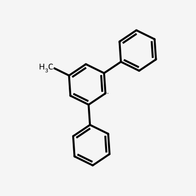 Cc1cc(-c2ccccc2)[c]c(-c2ccccc2)c1